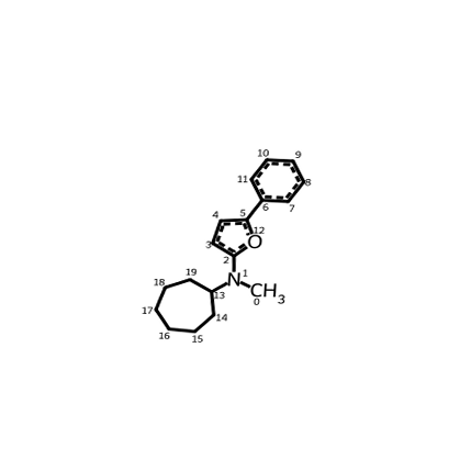 CN(c1ccc(-c2ccccc2)o1)C1CCCCCC1